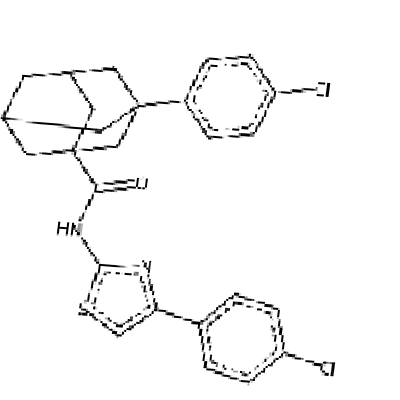 O=C(Nc1nc(-c2ccc(Cl)cc2)cs1)C12CC3CC(C1)CC(c1ccc(Cl)cc1)(C3)C2